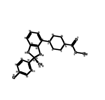 CC(C)(C)OC(=O)N1CCN(c2cccc3c2O[C@](C)(c2ccc(Cl)cn2)O3)CC1